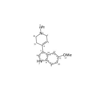 CCCN1CC=C(c2c[nH]c3ccc(OC)cc23)CC1